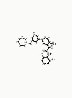 O=C(Nc1c(F)cncc1F)c1n[nH]c2ccc(-c3cncc(CN4CCCCCC4)c3)cc12